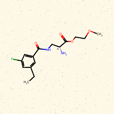 CCc1cc(F)cc(C(=O)NC[C@@H](N)C(=O)OCCOC)c1